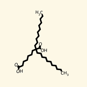 CCCCCCCCCCCC(CCCCCCCCCCC)(CCCCCCC(=O)O)C(=O)O